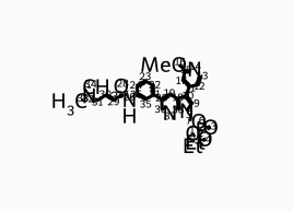 CCOP(=O)(OCC)OCn1cc(-c2ccnc(OC)c2)c2cc(-c3cccc(NC(=O)C=CCN(C)C)c3)cnc21